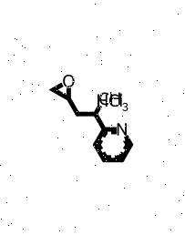 CC(CC1CO1)c1ccccn1.Cl